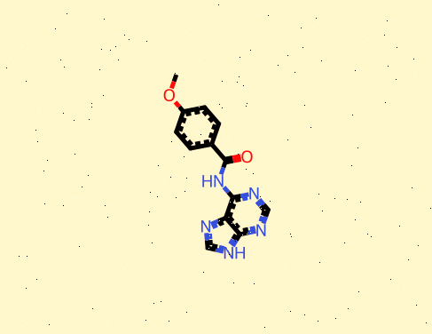 COc1ccc(C(=O)Nc2ncnc3[nH]cnc23)cc1